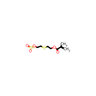 C=C(C)C(=O)OCCSCCO[SH](=O)=O